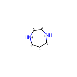 [CH]1CCNCCN1